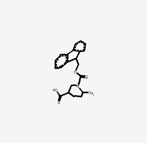 CC1CCC(C(=O)O)CN1C(=O)OCC1c2ccccc2-c2ccccc21